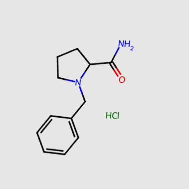 Cl.NC(=O)C1CCCN1Cc1ccccc1